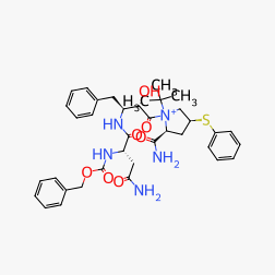 CC(C)(C)[N+]1(C(=O)[C@@H](O)[C@H](Cc2ccccc2)NC(=O)[C@H](CC(N)=O)NC(=O)OCc2ccccc2)C[C@@H](Sc2ccccc2)C[C@H]1C(N)=O